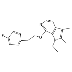 CCn1c(C)c(C)c2ccnc(OCCc3ccc(F)cc3)c21